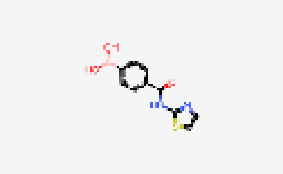 O=C(Nc1nccs1)c1ccc(B(O)O)cc1